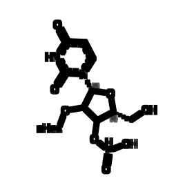 CCCCCCOC1C(O[PH](=O)O)[C@@H](CO)O[C@H]1n1ccc(=O)[nH]c1=O